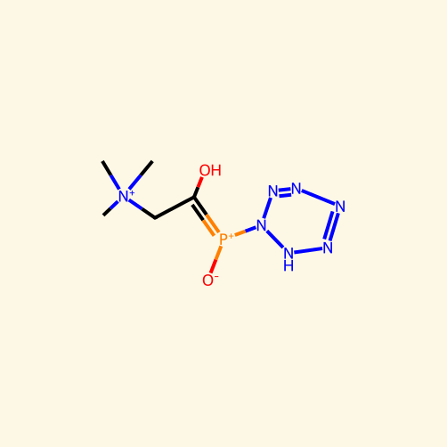 C[N+](C)(C)CC(O)=[P+]([O-])N1N=NN=NN1